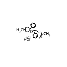 CN(C)CCCC1(c2ccccc2)OC2(CCN(C)CC2)c2ccccc21.Cl.Cl